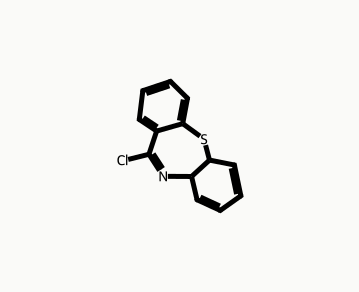 ClC1=NC2C=CC=CC2Sc2ccccc21